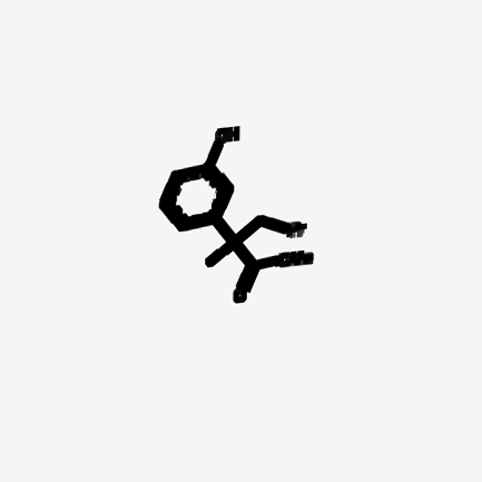 COC(=O)C(C)(CC(C)C)c1cccc(O)c1